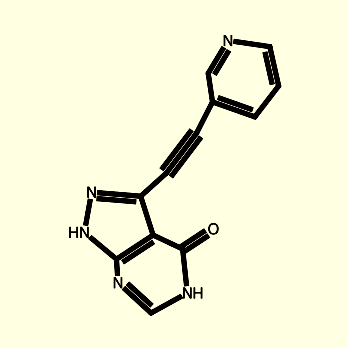 O=c1[nH]cnc2[nH]nc(C#Cc3cccnc3)c12